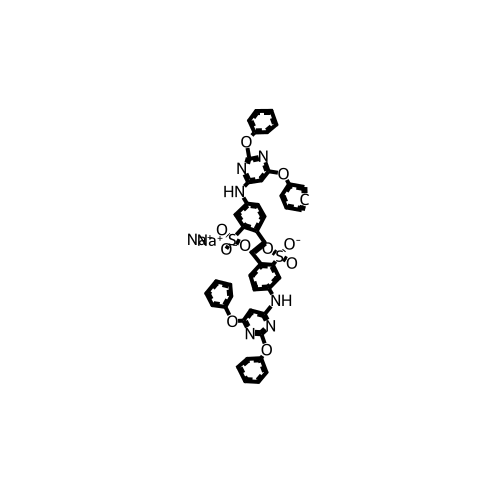 O=S(=O)([O-])c1cc(Nc2cc(Oc3ccccc3)nc(Oc3ccccc3)n2)ccc1C=Cc1ccc(Nc2cc(Oc3ccccc3)nc(Oc3ccccc3)n2)cc1S(=O)(=O)[O-].[Na+].[Na+]